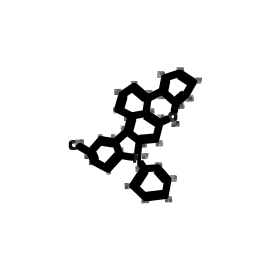 Clc1ccc2c(c1)c1c3cccc4c3c(cc1n2-c1ccccc1)Oc1ccccc1-4